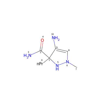 CCCC1(C(N)=O)NN(C)C=C1N